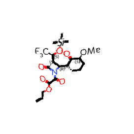 C=CCOC(=O)C(=O)N1C(=O)[C@H]([C@H](O[Si](C)(C)C)C(F)(F)F)[C@H]1[C@H]1CCC[C@H](OC)C1=O